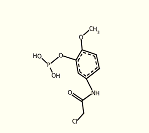 COc1ccc(NC(=O)CCl)cc1OP(O)O